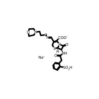 O=C(Cc1ccccc1S(=O)(=O)O)N[C@@H]1C(=O)N2C(C(=O)[O-])=C(/C=N/OCCN3CCOCC3)CS[C@H]12.[Na+]